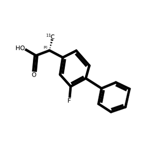 [11CH3][C@@H](C(=O)O)c1ccc(-c2ccccc2)c(F)c1